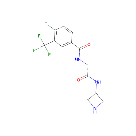 O=C(CNC(=O)c1ccc(F)c(C(F)(F)F)c1)NC1CNC1